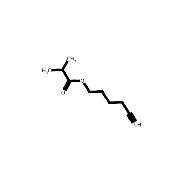 C#CCCCCOC(=O)C(C)C